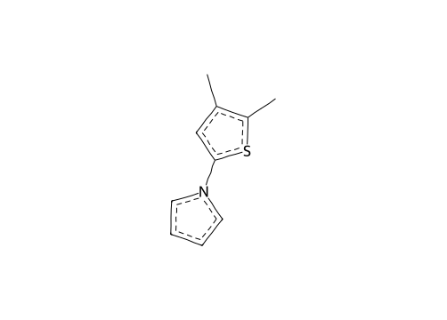 Cc1cc(-n2cccc2)sc1C